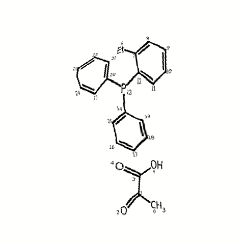 CC(=O)C(=O)O.CCc1ccccc1P(c1ccccc1)c1ccccc1